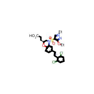 CCOc1nn(CC)cc1S(=O)(=O)N1C[C@H](CCC(=O)O)Oc2ccc(/C=C/c3c(Cl)cccc3Cl)cc21